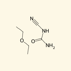 CCOCC.N#CNC(N)=O